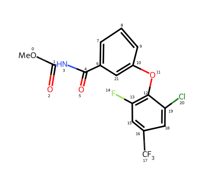 COC(=O)NC(=O)c1cccc(Oc2c(F)cc(C(F)(F)F)cc2Cl)c1